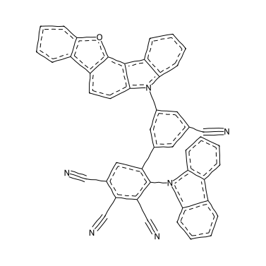 N#Cc1cc(-c2cc(C#N)c(C#N)c(C#N)c2-n2c3ccccc3c3ccccc32)cc(-n2c3ccccc3c3c4oc5ccccc5c4ccc32)c1